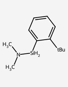 CN(C)[SiH2]c1ccccc1C(C)(C)C